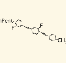 CCCCCc1ccc(C#Cc2ccc(C#Cc3ccc(C)cc3)c(F)c2)cc1F